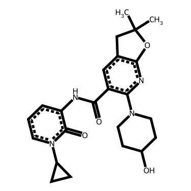 CC1(C)Cc2cc(C(=O)Nc3cccn(C4CC4)c3=O)c(N3CCC(O)CC3)nc2O1